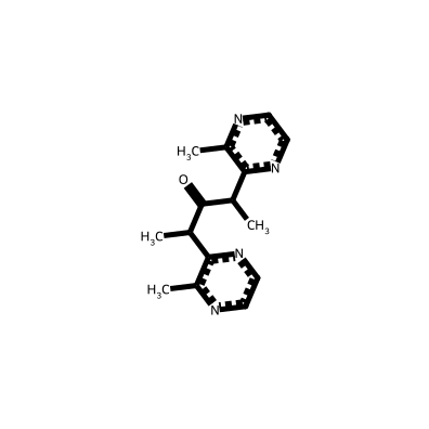 Cc1nccnc1C(C)C(=O)C(C)c1nccnc1C